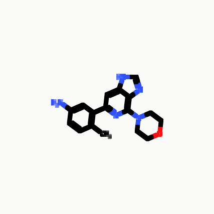 Cc1ccc(N)cc1-c1cc2[nH]cnc2c(N2CCOCC2)n1